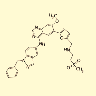 COc1cc2ncnc(Nc3ccc4c(cnn4Cc4ccccc4)c3)c2cc1-c1ccc(CNCCS(C)(=O)=O)o1